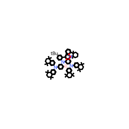 CC(C)(C)c1ccc(N2c3cc(N(c4ccc5c(c4)C(C)(C)CCC5(C)C)c4ccc5c(c4)C(C)(C)CCC5(C)C)ccc3B3c4cc5c(cc4N(c4ccc6c(c4)C(C)(C)CCC6(C)C)c4cc(N6c7ccccc7C7(C)CCCCC67C)cc2c43)C(C)(C)CCC5(C)C)c(-c2ccccc2)c1